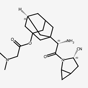 CN(C)CC(=O)OC12CC3C[C@H](C1)CC([C@H](N)C(=O)N1C4CC4C[C@H]1C#N)(C3)C2